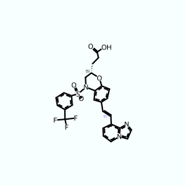 O=C(O)CC[C@H]1CN(S(=O)(=O)c2cccc(C(F)(F)F)c2)c2cc(/C=C/c3cccn4ccnc34)ccc2O1